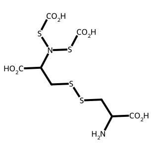 NC(CSSCC(C(=O)O)N(SC(=O)O)SC(=O)O)C(=O)O